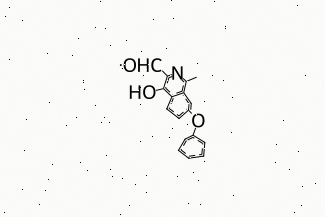 Cc1nc([C]=O)c(O)c2ccc(Oc3ccccc3)cc12